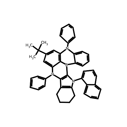 CC(C)(C)c1cc2c3c(c1)N(c1ccccc1)c1c4c(n(-c5cccc6ccccc56)c1B3c1ccccc1N2c1ccccc1)CCCC4